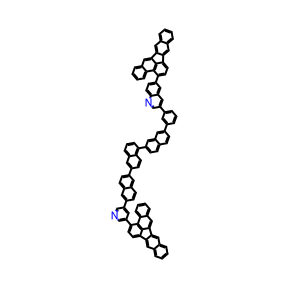 c1cc(-c2ccc3ccc(-c4cccc5cc(-c6ccc7cc(-c8cncc(-c9ccc%10c%11c(cc%12ccccc%12c9%11)-c9cc%11ccccc%11cc9-%10)c8)ccc7c6)ccc45)cc3c2)cc(-c2cnc3ccc(-c4ccc5c6c(cc7ccccc7c46)-c4cc6ccccc6cc4-5)cc3c2)c1